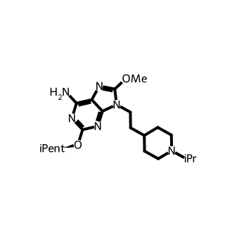 CCC[C@H](C)Oc1nc(N)c2nc(OC)n(CCC3CCN(C(C)C)CC3)c2n1